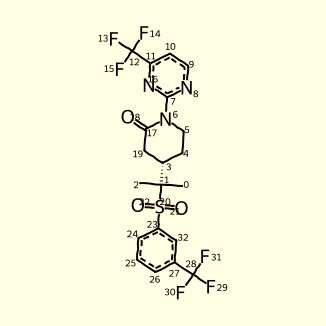 CC(C)([C@H]1CCN(c2nccc(C(F)(F)F)n2)C(=O)C1)S(=O)(=O)c1cccc(C(F)(F)F)c1